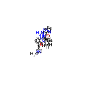 [2H]c1c([2H])c([2H])c(-n2c([C@H](C)NC(=O)c3c(N)nn4cccnc34)nc3cccc(C#Cc4cnn(C)c4)c3c2=O)c([2H])c1[2H]